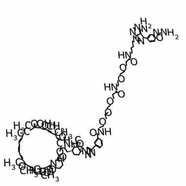 CO[C@H]1C[C@@H]2CC[C@@H](C)[C@@](O)(O2)C(=O)C(=O)N2CCCC[C@H]2C(=O)O[C@H]([C@H](N)C[C@@H]2CC[C@H](n3cc(-c4cccc(C(=O)NCCOCCOCCOCCC(=O)NCCOCCOCCC(=O)NCCCCn5nc(-c6ccc7oc(N)nc7c6)c6c(N)ncnc65)c4)nn3)[C@H](OC)C2)CC(=O)[C@H](C)/C=C(\C)[C@@H](O)[C@@H](O)C(=O)[C@H](C)C[C@H](C)/C=C/C=C/C=C/1C